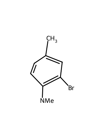 CNc1ccc(C)cc1Br